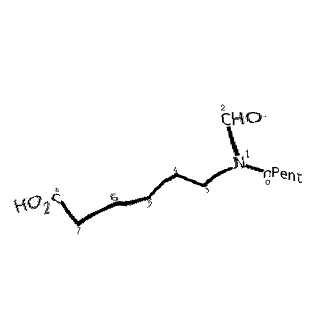 CCCCCN([C]=O)CCCCCC(=O)O